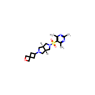 Cc1nc(C(F)(F)F)nc(C)c1S(=O)(=O)N1C[C@@H]2CN(C3CC4(COC4)C3)C[C@H]2C1